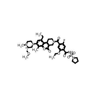 CCOc1cc(C(=O)N2CCc3c(c(=O)oc4c(C)c(N5CCN(C)[C@@H](COC)C5)cc(CC)c34)C2)c(F)cc1C(=O)NS(=O)(=O)N1CCCC1